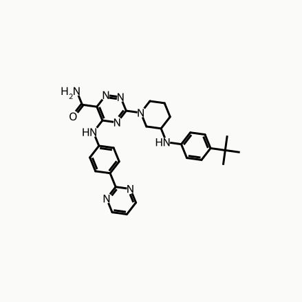 CC(C)(C)c1ccc(NC2CCCN(c3nnc(C(N)=O)c(Nc4ccc(-c5ncccn5)cc4)n3)C2)cc1